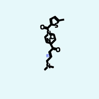 Cc1ccc(C(=O)N2CC3CCC2CN3C(=O)/C=C/CN(C)C)s1